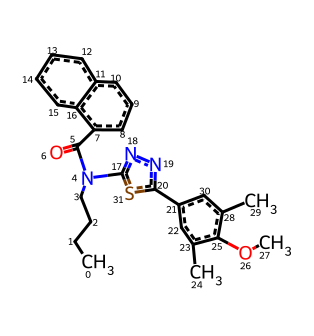 CCCCN(C(=O)c1cccc2ccccc12)c1nnc(-c2cc(C)c(OC)c(C)c2)s1